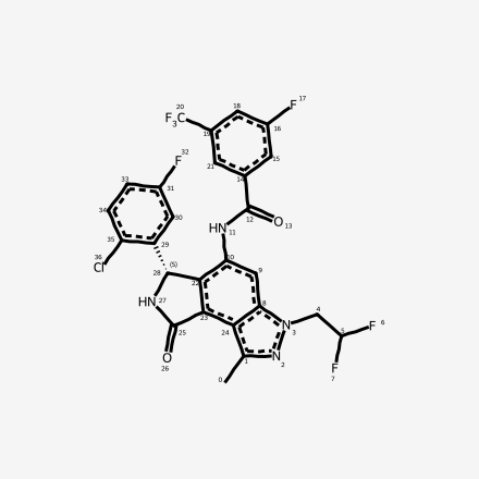 Cc1nn(CC(F)F)c2cc(NC(=O)c3cc(F)cc(C(F)(F)F)c3)c3c(c12)C(=O)N[C@@H]3c1cc(F)ccc1Cl